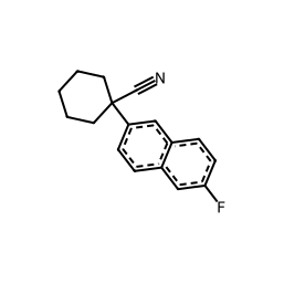 N#CC1(c2ccc3cc(F)ccc3c2)CCCCC1